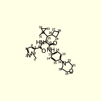 Cn1nccc1C(=O)N[C@H](C(=O)Nc1ccc(N2CCOCC2)cc1)C(C1CCC1)C1(C)CC1